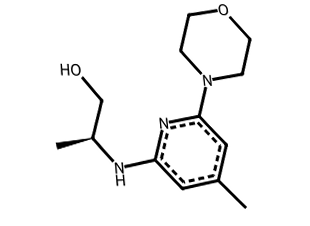 Cc1cc(N[C@@H](C)CO)nc(N2CCOCC2)c1